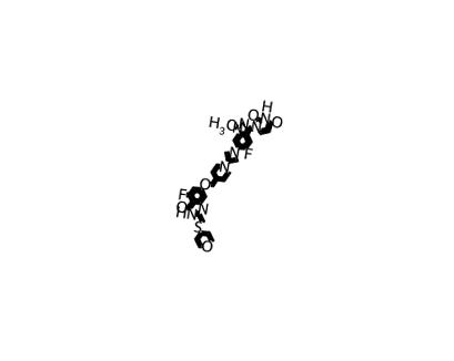 Cn1nc(-n2ccc(=O)[nH]c2=O)c2cc(F)c(N3CC(N4CCC(COc5cc(F)c6c(=O)[nH]c(CSC7CCOCC7)nc6c5)CC4)C3)cc21